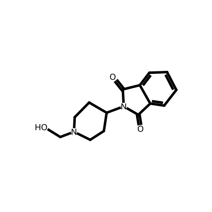 O=C1c2ccccc2C(=O)N1C1CCN(CO)CC1